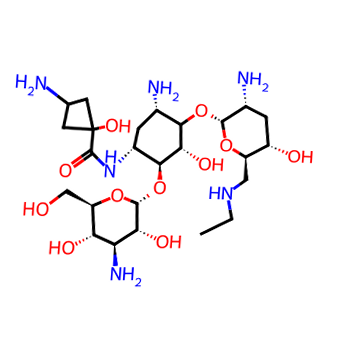 CCNC[C@H]1O[C@H](OC2[C@@H](N)C[C@@H](NC(=O)C3(O)CC(N)C3)[C@H](O[C@H]3O[C@H](CO)[C@@H](O)[C@H](N)[C@H]3O)[C@H]2O)[C@H](N)C[C@@H]1O